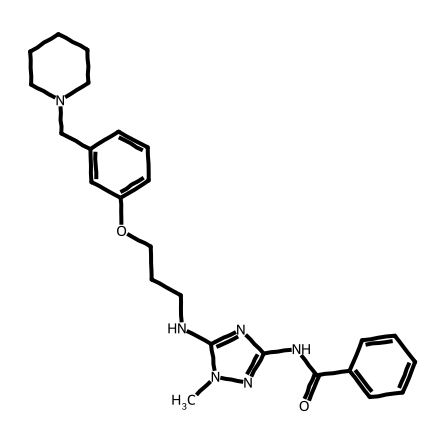 Cn1nc(NC(=O)c2ccccc2)nc1NCCCOc1cccc(CN2CCCCC2)c1